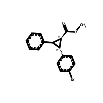 COC(=O)[C@@H]1C(c2ccccc2)[C@H]1c1ccc(Br)cc1